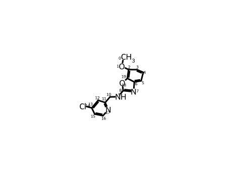 COc1c[c]cc2nc(NCc3cc(Cl)ccn3)oc12